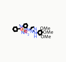 COc1cc(Nc2nccc(Nc3cccc(N(C)Cc4ccccc4)c3S(N)(=O)=O)n2)cc(OC)c1OC